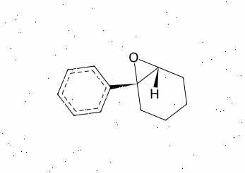 c1ccc([C@]23CCCC[C@H]2O3)cc1